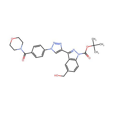 CC(C)(C)OC(=O)n1nc(-c2cn(-c3ccc(C(=O)N4CCOCC4)cc3)nn2)c2cc(CO)ccc21